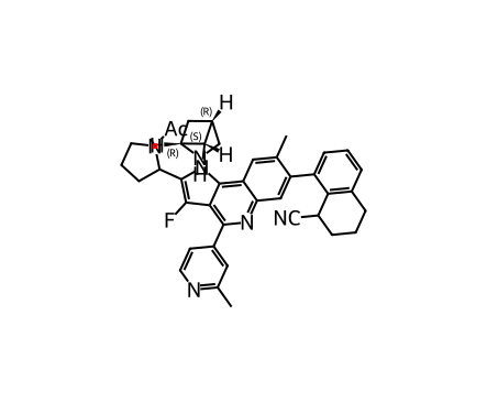 CC(=O)N1CCCC1c1c(F)c2c(-c3ccnc(C)c3)nc3cc(-c4cccc5c4C(C#N)CCC5)c(C)cc3c2n1[C@H]1[C@H]2CN[C@@H]1C2